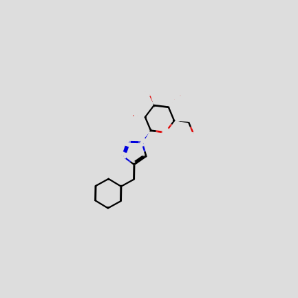 OC[C@H]1O[C@@H](n2cc(CC3CCCCC3)nn2)[C@H](O)[C@@H](O)[C@@H]1O